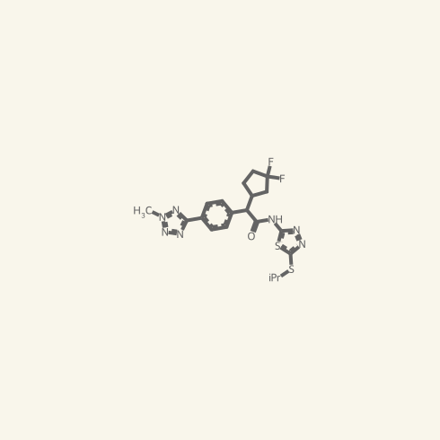 CC(C)Sc1nnc(NC(=O)C(c2ccc(-c3nnn(C)n3)cc2)C2CCC(F)(F)C2)s1